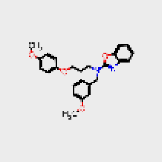 COc1ccc(OCCCN(Cc2cccc(OC)c2)c2nc3ccccc3o2)cc1